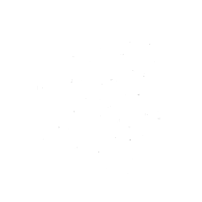 O=S(=O)(c1cc(Oc2ccccc2)c(O)cc1Oc1ccccc1)c1cc(Oc2ccccc2)c(O)cc1Oc1ccccc1